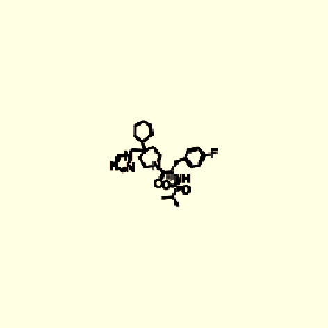 CC(C)S(=O)(=O)N[C@H](Cc1ccc(F)cc1)C(=O)N1CCC(Cn2cncn2)(C2CCCCC2)CC1